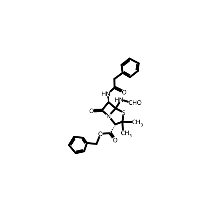 CC1(C)SC2(NC=O)[C@H](NC(=O)Cc3ccccc3)C(=O)N2[C@H]1C(=O)OCc1ccccc1